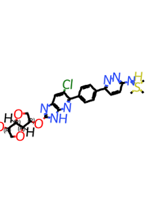 C[SH](C)(C)=Nc1ccc(-c2ccc(-c3nc4[nH]c(O[C@@H]5CO[C@H]6[C@@H]5OC[C@H]6O)nc4cc3Cl)cc2)nn1